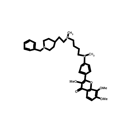 COc1ccc2c(=O)c(OC)c(-c3ccc(N(C)CCCCN(C)CCC4CCN(Cc5ccccc5)CC4)cc3)oc2c1OC